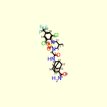 CC1CN(CC(=O)NC2C3CC4CC2CC(C3)C4C(N)=O)S(=O)(=O)N(c2c(Cl)cc(C(F)(F)F)cc2Cl)C1